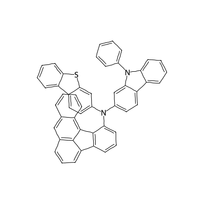 c1ccc(-n2c3ccccc3c3ccc(N(c4ccc5c(c4)sc4ccccc45)c4cccc5c4-c4c6ccccc6cc6cccc-5c46)cc32)cc1